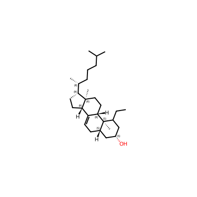 CCC1C[C@H](O)C[C@@H]2CC=C3[C@@H]4CC[C@H]([C@H](C)CCCC(C)C)[C@@]4(C)CC[C@@H]3[C@@]12C